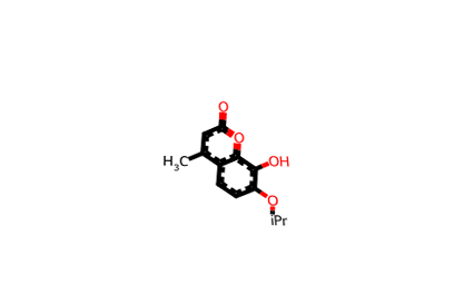 Cc1cc(=O)oc2c(O)c(OC(C)C)ccc12